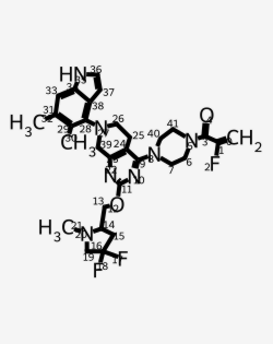 C=C(F)C(=O)N1CCN(c2nc(OCC3CC(F)(F)CN3C)nc3c2CCN(c2c(C)c(C)cc4[nH]ccc24)C3)CC1